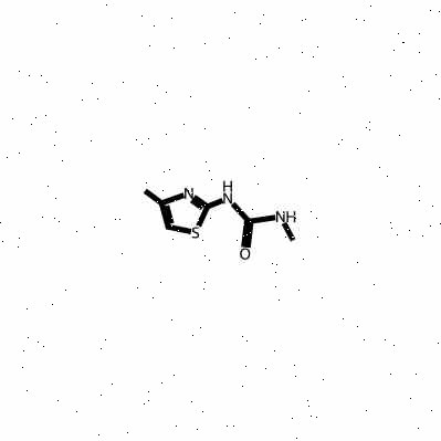 CNC(=O)Nc1nc(C)cs1